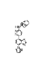 c1cnn(-c2ccc(-c3ccc(NC4CC5CCC(C4)N5)nn3)c3scnc23)c1